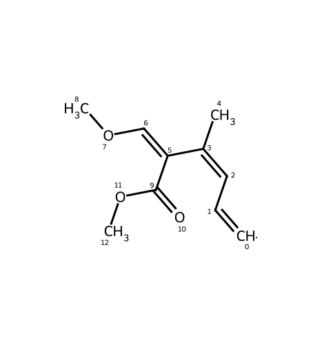 [CH]=CC=C(C)C(=COC)C(=O)OC